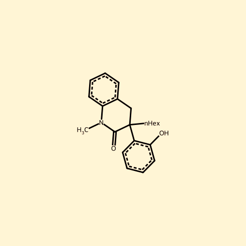 CCCCCCC1(c2ccccc2O)Cc2ccccc2N(C)C1=O